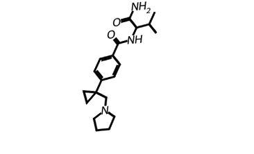 CC(C)C(NC(=O)c1ccc(C2(CN3CCCC3)CC2)cc1)C(N)=O